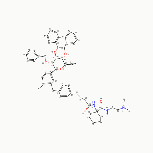 CCC[C@H]1O[C@@H](c2ccc(C)c(Cc3ccc(CCCC(=O)NC4(C(=O)NCCN(C)C)CCCCC4)cc3)c2)[C@H](OCc2ccccc2)[C@@H](OCc2ccccc2)[C@@H]1OCc1ccccc1